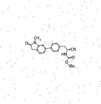 CN1C(=O)Cc2ccc(-c3ccc(C[C@@H](C#N)NC(=O)OC(C)(C)C)cc3)cc21